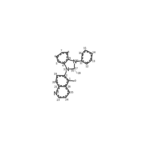 Cc1c(N2c3ccccc3N(c3ccccc3)[C@@H]2C)ccc2ncccc12